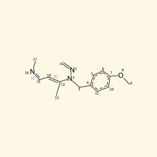 C=NN(Cc1ccc(OC)cc1)/C(C)=C/C=N\C